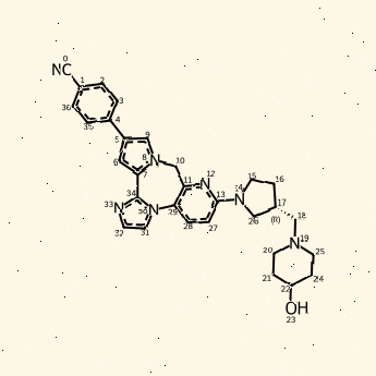 N#Cc1ccc(-c2cc3n(c2)Cc2nc(N4CC[C@H](CN5CCC(O)CC5)C4)ccc2-n2ccnc2-3)cc1